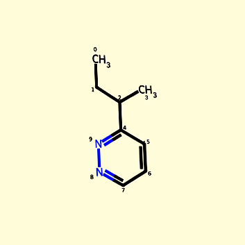 CCC(C)c1[c]ccnn1